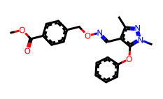 COC(=O)c1ccc(CON=Cc2c(C)nn(C)c2Oc2ccccc2)cc1